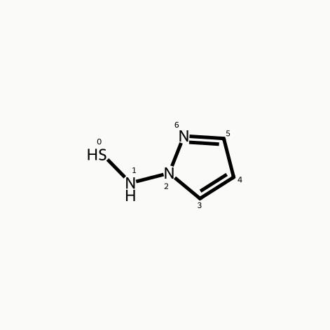 SNn1cccn1